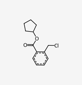 O=C(OC1CCCC1)c1ccccc1CCl